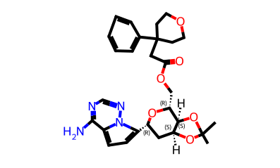 CC1(C)O[C@H]2[C@H](C[C@H](c3ccc4c(N)ncnn34)O[C@@H]2COC(=O)CC2(c3ccccc3)CCOCC2)O1